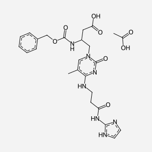 CC(=O)O.Cc1cn(CC(CC(=O)O)NC(=O)OCc2ccccc2)c(=O)nc1NCCC(=O)Nc1ncc[nH]1